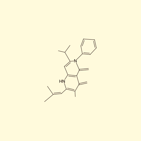 C=C1C(C)=C(C=C(C)C)NC2=C1C(=C)N(c1ccccc1)C(C(C)C)=C2